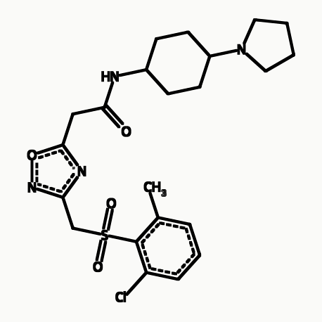 Cc1cccc(Cl)c1S(=O)(=O)Cc1noc(CC(=O)NC2CCC(N3CCCC3)CC2)n1